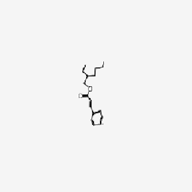 CCCCC(CC)COC(=O)C=Cc1cc[c]cc1